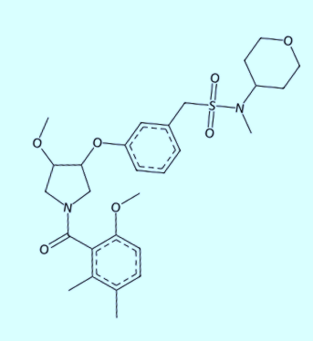 COc1ccc(C)c(C)c1C(=O)N1CC(OC)C(Oc2cccc(CS(=O)(=O)N(C)C3CCOCC3)c2)C1